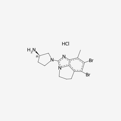 Cc1c(Br)c(Br)c2c3c1nc(N1CC[C@@H](N)C1)n3CCC2.Cl